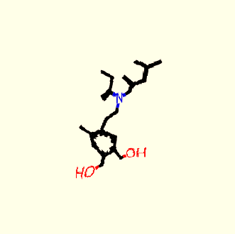 C=C(CC(C)C)CN(CCc1cc(CO)c(CO)cc1C)C(=C)CC